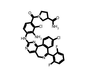 NC(=O)C1CCN(C(=O)c2ccc(Nc3ncc4c(n3)-c3ccc(Cl)cc3C(c3c(F)cccc3F)=NC4)c(N)c2Cl)C1